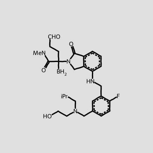 BC(CCC=O)(C(=O)NC)N1Cc2c(NCc3cc(CN(CCO)CC(C)C)ccc3F)cccc2C1=O